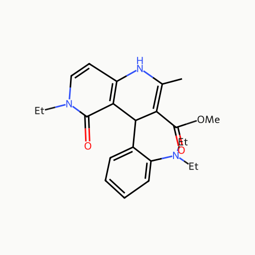 CCN(CC)c1ccccc1C1C(C(=O)OC)=C(C)Nc2ccn(CC)c(=O)c21